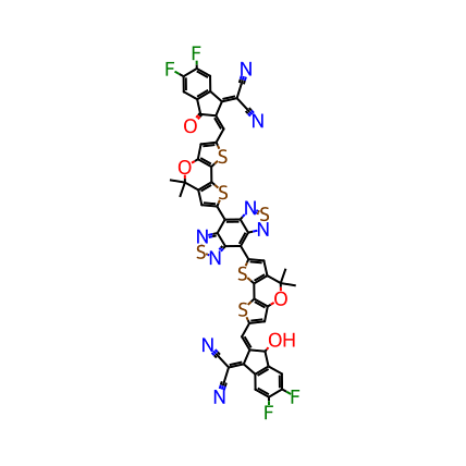 CC1(C)Oc2cc(/C=C3\C(=O)c4cc(F)c(F)cc4C3=C(C#N)C#N)sc2-c2sc(-c3c4c(c(-c5cc6c(s5)-c5sc(/C=C7/C(=C(C#N)C#N)c8cc(F)c(F)cc8C7O)cc5OC6(C)C)c5nsnc35)N=S=N4)cc21